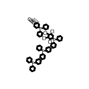 Clc1cc(P(c2ccccc2)c2ccccc2)c(Cl)c(Cl)c1Cl.[Cu+].[Cu+].[Cu+].[Cu+].c1ccc(P(c2ccccc2)c2ccccc2)cc1.c1ccc(P(c2ccccc2)c2ccccc2)cc1.c1ccc(P(c2ccccc2)c2ccccc2)cc1